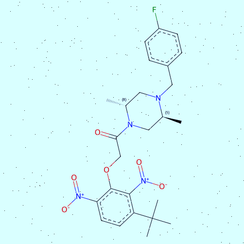 C[C@@H]1CN(Cc2ccc(F)cc2)[C@@H](C)CN1C(=O)COc1c([N+](=O)[O-])ccc(C(C)(C)C)c1[N+](=O)[O-]